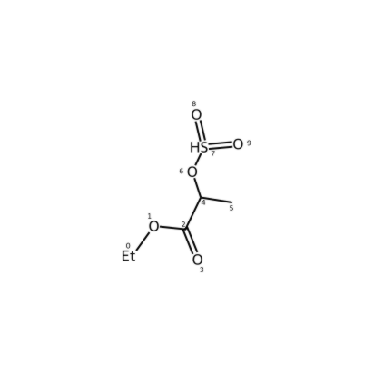 CCOC(=O)C(C)O[SH](=O)=O